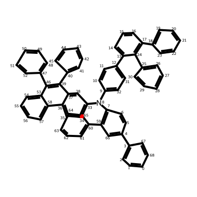 c1ccc(-c2ccc(N(c3ccc(-c4cccc(-c5ccccc5)c4-c4ccccc4)cc3)c3ccc4c(c3)c(-c3ccccc3)c(-c3ccccc3)c3ccccc34)c(-c3ccccc3)c2)cc1